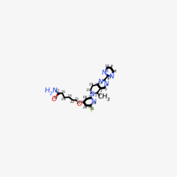 CC1c2cnc(-c3ncccn3)nc2CCN1c1cc(OCCCCCC(N)=O)cc(F)n1